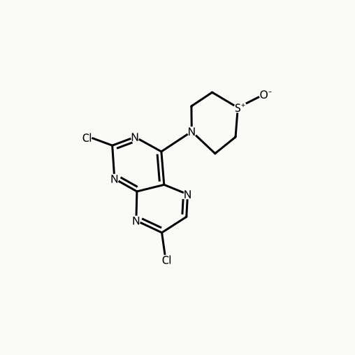 [O-][S+]1CCN(c2nc(Cl)nc3nc(Cl)cnc23)CC1